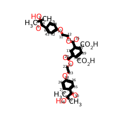 CC(C)(O)C(=O)c1ccc(OCCOC(=O)c2cc(C(=O)OCCOc3ccc(C(=O)C(C)(C)O)cc3)c(C(=O)O)cc2C(=O)O)cc1